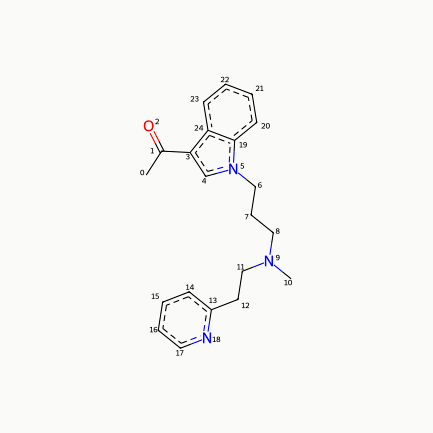 CC(=O)c1cn(CCCN(C)CCc2ccccn2)c2ccccc12